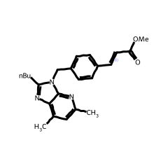 CCCCc1nc2c(C)cc(C)nc2n1Cc1ccc(/C=C/C(=O)OC)cc1